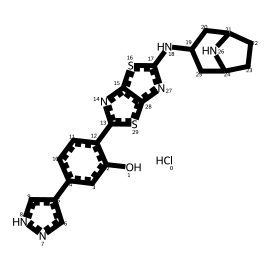 Cl.Oc1cc(-c2cn[nH]c2)ccc1-c1nc2sc(NC3CC4CCC(C3)N4)nc2s1